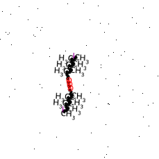 CC(I)CC(C)CC(C)CC(C)CC(C)CC(C)CCCOCOCOCCCC(C)CC(C)CC(C)CC(C)CC(C)CC(C)I